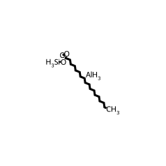 CCCCCCCCCCCCCCCCCC1(O[SiH3])OO1.[AlH3]